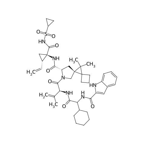 C=C[C@@H]1C[C@]1(NC(=O)[C@@H]1C[C@@]2(CN1C(=O)[C@@H](NC(=O)C(NC(=O)c1cc3ccccc3[nH]1)C1CCCCC1)C(=C)C)C(C)(C)C21CCC1)C(=O)NS(=O)(=O)C1CC1